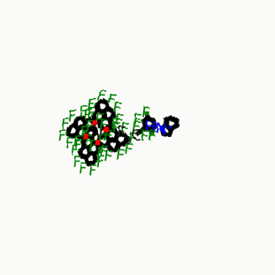 Fc1c(F)c2c(F)c(F)c3c(F)c(F)[c]([Al-]([c]4c(F)c(F)c5c(F)c(F)c6c(F)c(F)c(F)c7c(F)c(F)c4c5c67)([c]4c(F)c(F)c5c(F)c(F)c6c(F)c(F)c(F)c7c(F)c(F)c4c5c67)[c]4c(F)c(F)c5c(F)c(F)c6c(F)c(F)c(F)c7c(F)c(F)c4c5c67)c4c(F)c(F)c(c1F)c2c34.Fc1cc([NH+]2CCc3ccccc32)c(F)c(C(F)(F)C(F)(F)F)c1F